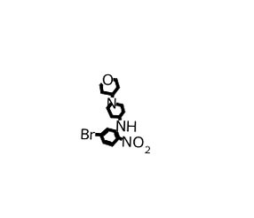 O=[N+]([O-])c1ccc(Br)cc1NC1CCN(C2CCOCC2)CC1